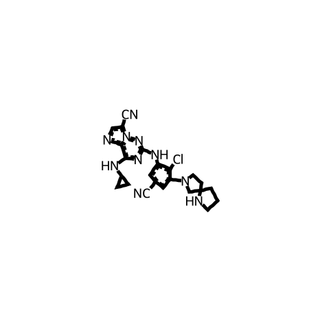 N#Cc1cc(Nc2nc(NC3CC3)c3ncc(C#N)n3n2)c(Cl)c(N2CCC3(CCCN3)C2)c1